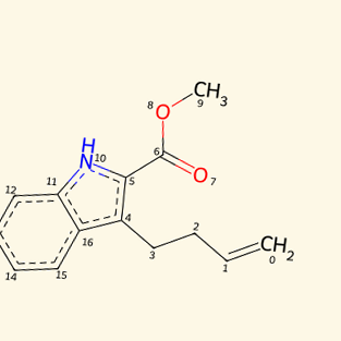 C=CCCc1c(C(=O)OC)[nH]c2ccccc12